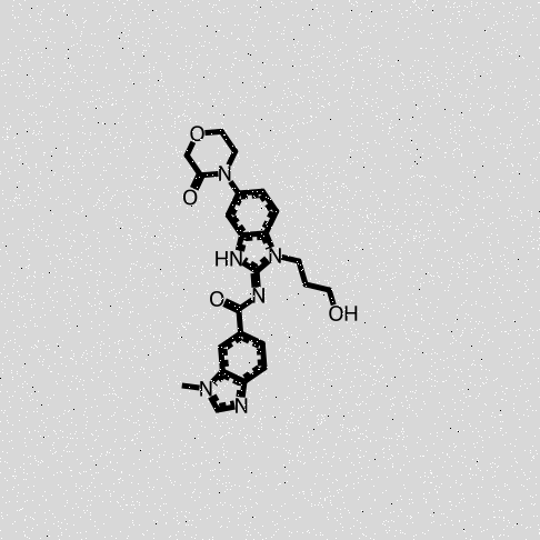 Cn1cnc2ccc(C(=O)/N=c3\[nH]c4cc(N5CCOCC5=O)ccc4n3CCCO)cc21